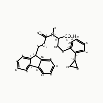 CN(C(=O)OCC1c2ccccc2-c2ccccc21)C(CCc1ccccc1C1CC1)C(=O)O